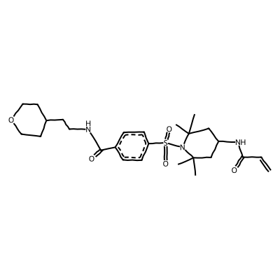 C=CC(=O)NC1CC(C)(C)N(S(=O)(=O)c2ccc(C(=O)NCCC3CCOCC3)cc2)C(C)(C)C1